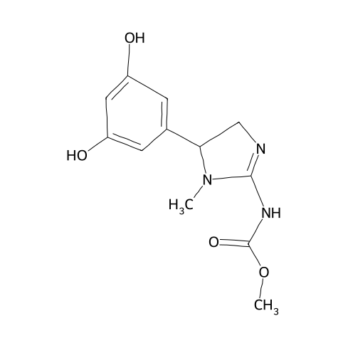 COC(=O)NC1=NCC(c2cc(O)cc(O)c2)N1C